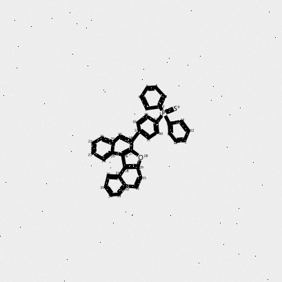 S=P(c1ccccc1)(c1ccccc1)c1ccc(-c2cc3ccccc3c3c2oc2ccc4ccccc4c23)cc1